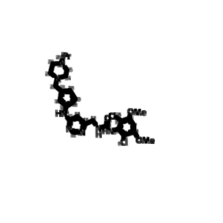 COc1cc(OC)c(Cl)c(NC(=O)NCc2cc(Nc3cccc(CN4CCN(C(C)C)CC4)c3)ncn2)c1Cl